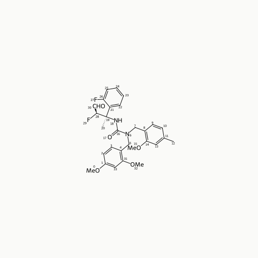 COc1ccc(CN(Cc2ccc(C)cc2OC)C(=O)N[C@](C)(c2ccccc2F)[C@@H](F)C=O)c(OC)c1